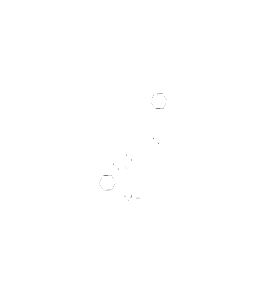 COc1cccc(NC(=O)NCCCN2CCC(Cc3ccc4c(c3)OCO4)CC2)c1